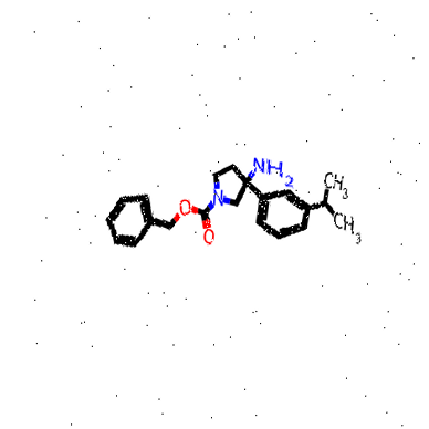 CC(C)c1cccc(C2(N)CCN(C(=O)OCc3ccccc3)C2)c1